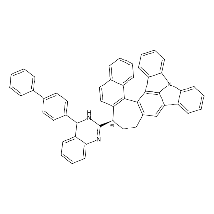 c1ccc(-c2ccc(C3NC([C@@H]4CCc5cc6c7ccccc7n7c8ccccc8c(c5-c5c4ccc4ccccc54)c67)=Nc4ccccc43)cc2)cc1